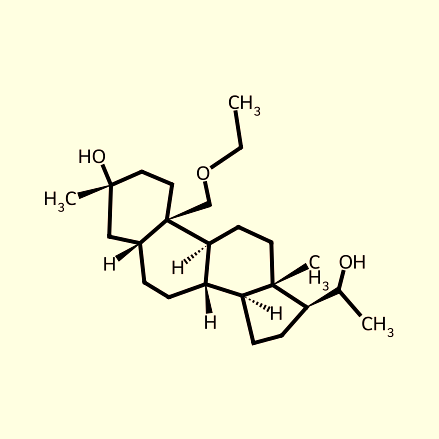 CCOC[C@]12CC[C@@](C)(O)C[C@H]1CC[C@H]1[C@@H]3CC[C@H](C(C)O)[C@@]3(C)CC[C@@H]12